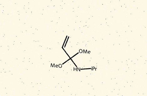 C=CC(NC(C)C)(OC)OC